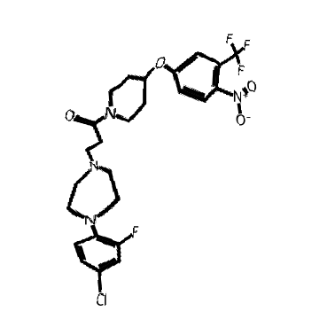 O=C(CCN1CCN(c2ccc(Cl)cc2F)CC1)N1CCC(Oc2ccc([N+](=O)[O-])c(C(F)(F)F)c2)CC1